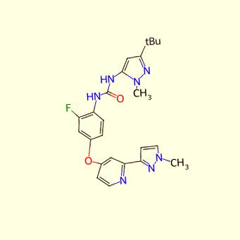 Cn1ccc(-c2cc(Oc3ccc(NC(=O)Nc4cc(C(C)(C)C)nn4C)c(F)c3)ccn2)n1